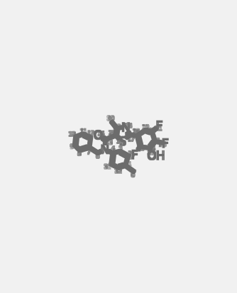 Cc1ccc(N(Cc2ccccc2)C(=O)c2sc(-c3cc(F)c(F)c(O)c3F)nc2C)cc1